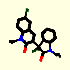 CN1C(=O)[C@](F)(c2cc3cc(Br)ccc3n(C)c2=O)c2ccccc21